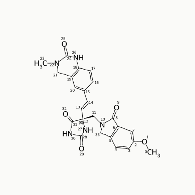 COc1ccc2c(c1)C(=O)N(C[C@@]1(C=Cc3ccc4c(c3)CN(C)C(=O)N4)NC(=O)NC1=O)C2